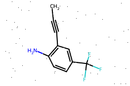 [CH2]C#Cc1cc(C(F)(F)F)ccc1N